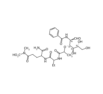 CCC(NC(=O)C(C)O[C@@H]([C@H](O)[C@H](O)CO)[C@H](C=O)NC(=O)c1ccccc1)C(=O)NC(CCC(=O)N(C)C(=O)O)C(N)=O